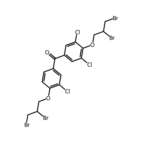 O=C(c1ccc(OCC(Br)CBr)c(Cl)c1)c1cc(Cl)c(OCC(Br)CBr)c(Cl)c1